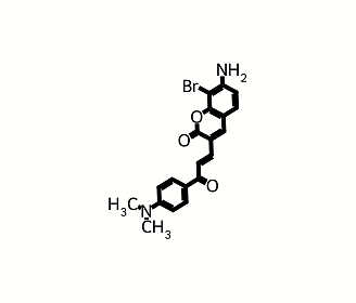 CN(C)c1ccc(C(=O)/C=C/c2cc3ccc(N)c(Br)c3oc2=O)cc1